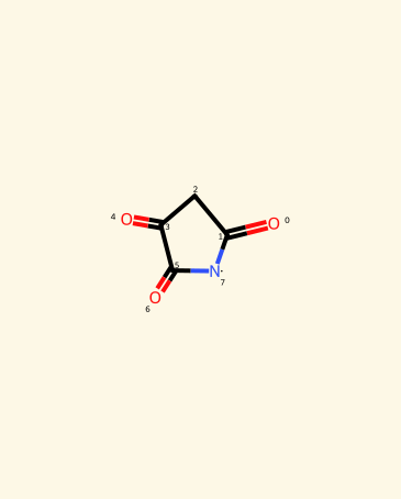 O=C1CC(=O)C(=O)[N]1